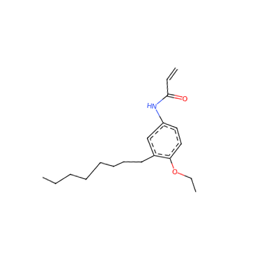 C=CC(=O)Nc1ccc(OCC)c(CCCCCCCC)c1